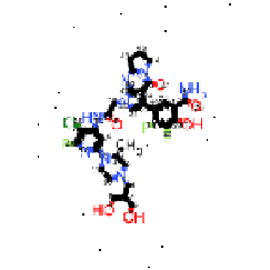 C[C@H]1CN(CC(CO)CO)CCN1c1cc(NC(=O)Cn2cc(-c3cc(C(N)=O)c(O)c(F)c3F)c3c(=O)n4c(nc32)CCC4)c(Cl)c(F)n1